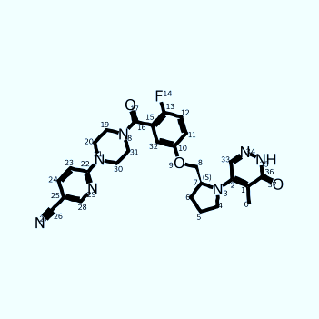 Cc1c(N2CCC[C@H]2COc2ccc(F)c(C(=O)N3CCN(c4ccc(C#N)cn4)CC3)c2)cn[nH]c1=O